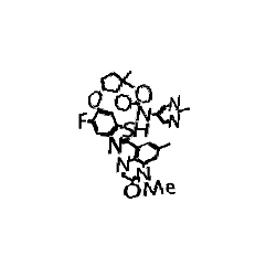 COc1cnc2c(-c3nc4cc(F)c(O[C@@H]5CCC(C)(C)[C@@H]5OC(=O)Nc5cnc(C)nc5)cc4s3)cc(C)cc2n1